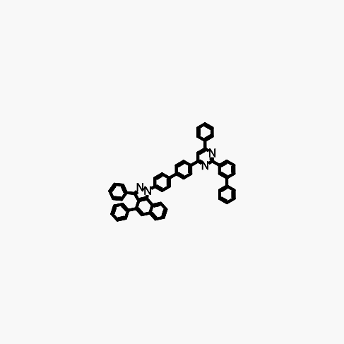 c1ccc(-c2cccc(-c3nc(-c4ccccc4)cc(-c4ccc(-c5ccc(-n6nc(-c7ccccc7)c7c(-c8ccccc8)cc8ccccc8c76)cc5)cc4)n3)c2)cc1